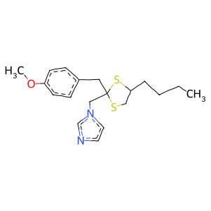 CCCCC1CSC(Cc2ccc(OC)cc2)(Cn2ccnc2)S1